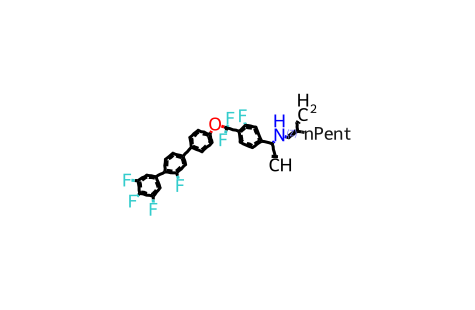 C#CC(N/C=C(\C=C)CCCCC)c1ccc(C(F)(F)Oc2ccc(-c3ccc(-c4cc(F)c(F)c(F)c4)c(F)c3)cc2)c(F)c1